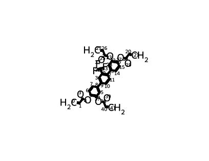 C=CC(=O)Oc1ccc(-c2ccc(-c3ccc(OC(=O)C=C)c(OC(=O)C=C)c3)c(C(F)(F)F)c2)cc1OC(=O)C=C